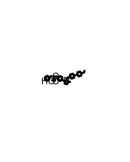 CCc1ccc(-c2ccc(Cn3c(C)ccc3-c3ccc(O[C@H](Cc4ccccc4)C(=O)O)cc3)cc2)cc1